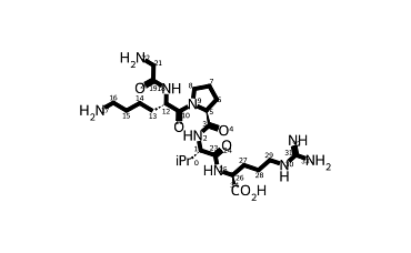 CC(C)[C@H](NC(=O)[C@@H]1CCCN1C(=O)[C@H](CCCCN)NC(=O)CN)C(=O)N[C@@H](CCCNC(=N)N)C(=O)O